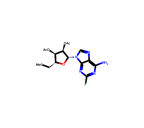 CSC[C@H]1O[C@@H](n2cnc3c(N)nc(F)nc32)[C@H](OC(C)=O)[C@@H]1OC(C)=O